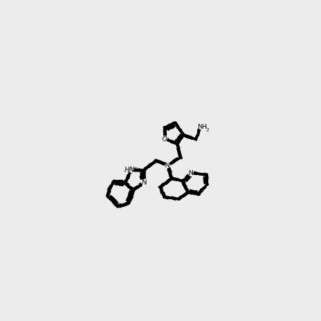 NCc1ccoc1CN(Cc1nc2ccccc2[nH]1)C1CCCc2cccnc21